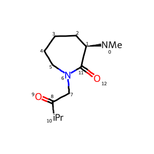 CN[C@@H]1CCCCN(CC(=O)C(C)C)C1=O